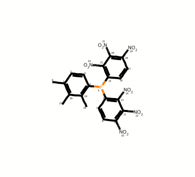 Cc1ccc(P(c2ccc([N+](=O)[O-])c([N+](=O)[O-])c2[N+](=O)[O-])c2ccc([N+](=O)[O-])c([N+](=O)[O-])c2[N+](=O)[O-])c(C)c1C